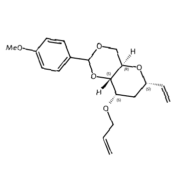 C=CCO[C@H]1C[C@@H](C=C)O[C@@H]2COC(c3ccc(OC)cc3)O[C@@H]12